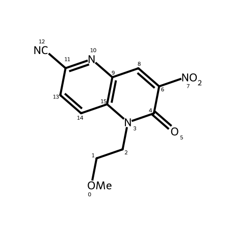 COCCn1c(=O)c([N+](=O)[O-])cc2nc(C#N)ccc21